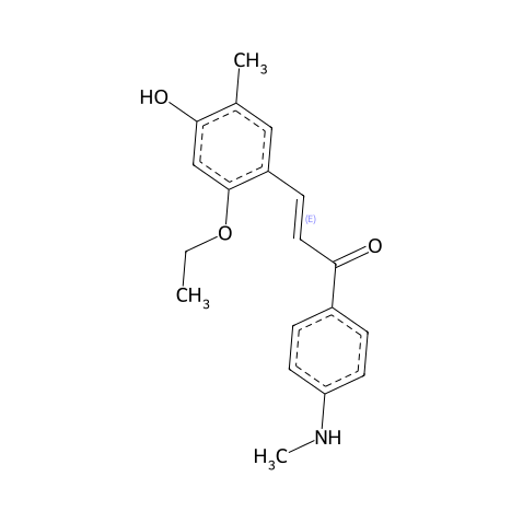 CCOc1cc(O)c(C)cc1/C=C/C(=O)c1ccc(NC)cc1